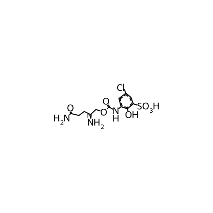 NC(=O)CC[C@H](N)COC(=O)Nc1cc(Cl)cc(S(=O)(=O)O)c1O